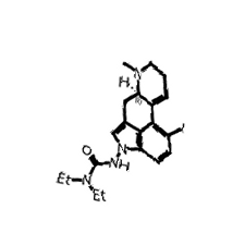 CCN(CC)C(=O)Nn1cc2c3c(c(I)ccc31)C1=CCCN(C)[C@@H]1C2